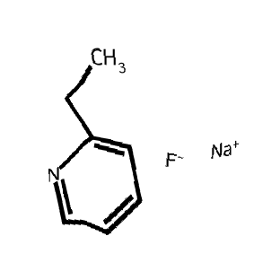 CCc1ccccn1.[F-].[Na+]